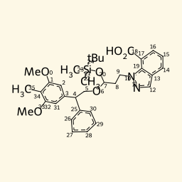 COc1cc(C(COC(CCn2ncc3cccc(C(=O)O)c32)O[Si](C)(C)C(C)(C)C)c2ccccc2)cc(OC)c1C